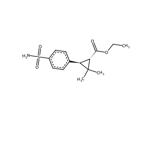 CCOC(=O)[C@H]1[C@H](c2ccc(S(N)(=O)=O)cc2)C1(C)C